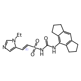 CCn1cncc1/C=C/S(=O)(=O)NC(=O)Nc1c2c(cc3c1CCC3)CCC2